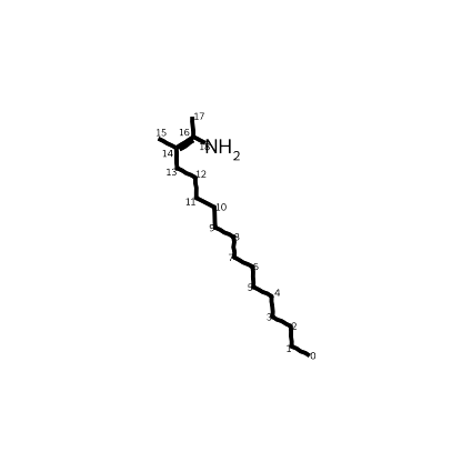 CCCCCCCCCCCCCCC(C)=C(C)N